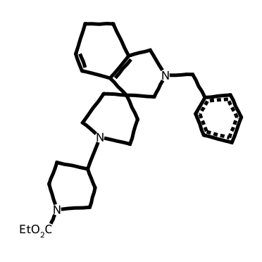 CCOC(=O)N1CCC(N2CCC3(CC2)CN(Cc2ccccc2)CC2=C3C=CCC2)CC1